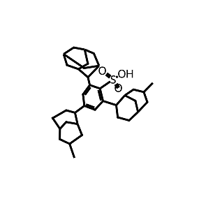 CC1CC2CCC(c3cc(C4CCC5CC(C)CC4C5)c(S(=O)(=O)O)c(C4C5CC6CC(C5)CC4C6)c3)C(C1)C2